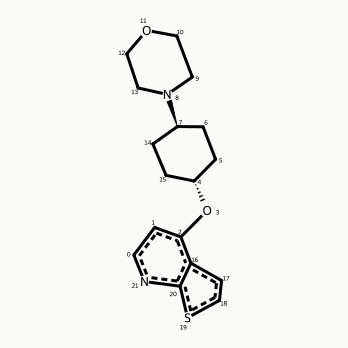 c1cc(O[C@H]2CC[C@H](N3CCOCC3)CC2)c2ccsc2n1